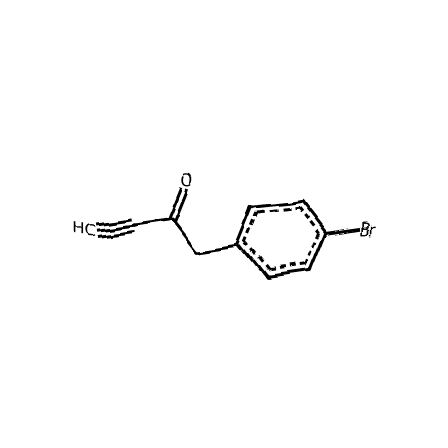 C#CC(=O)Cc1ccc(Br)cc1